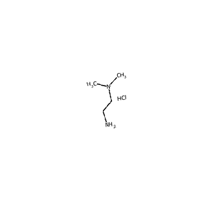 CN(C)CCN.Cl